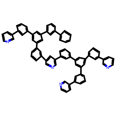 c1ccc(-c2cccc(-c3cc(-c4cccc(-c5cccnc5)c4)cc(-c4cccc(-c5cncc(-c6cccc(-c7cc(-c8cccc(-c9cccnc9)c8)cc(-c8cccc(-c9cccnc9)c8)c7)c6)c5)c4)c3)c2)cc1